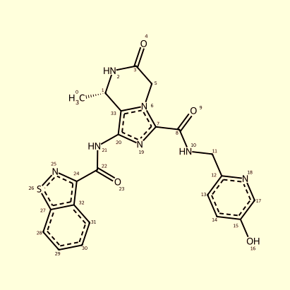 C[C@@H]1NC(=O)Cn2c(C(=O)NCc3ccc(O)cn3)nc(NC(=O)c3nsc4ccccc34)c21